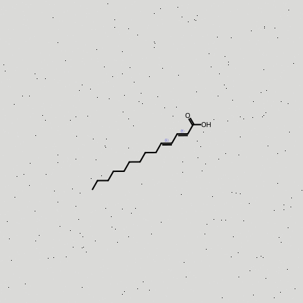 CCCCCCCCC/C=C/C=C/C(=O)O